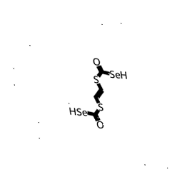 O=C([SeH])S/C=C/SC(=O)[SeH]